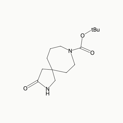 CC(C)(C)OC(=O)N1CCCC2(CC1)CNC(=O)C2